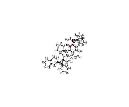 C1=CC(c2ccccc2)CC=C1c1ccccc1N(c1ccc2c3ccccc3n(-c3ccc4ccccc4c3)c2c1)c1cc2oc3ccccc3c2c2ccccc12